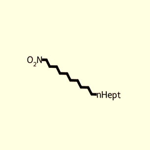 CCCCCCCCCCCCCCCCC[N+](=O)[O-]